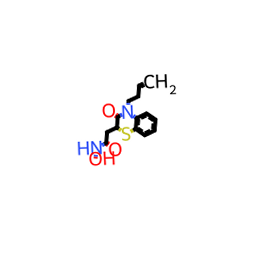 C=CCCN1C(=O)C(CC(=O)NO)Sc2ccccc21